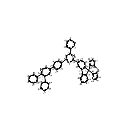 c1ccc(-c2cc(-c3ccc(-c4cnc(-c5ccccc5)c(-c5ccccc5)c4)cc3)nc(-c3ccc4c(c3)-c3ccccc3C43c4ccccc4Sc4ccccc43)n2)cc1